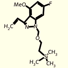 C=Cc1nn(COCC[Si](C)(C)C)c2cc(F)cc(OC)c12